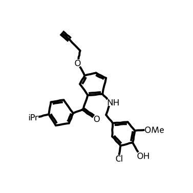 C#CCOc1ccc(NCc2cc(Cl)c(O)c(OC)c2)c(C(=O)c2ccc(C(C)C)cc2)c1